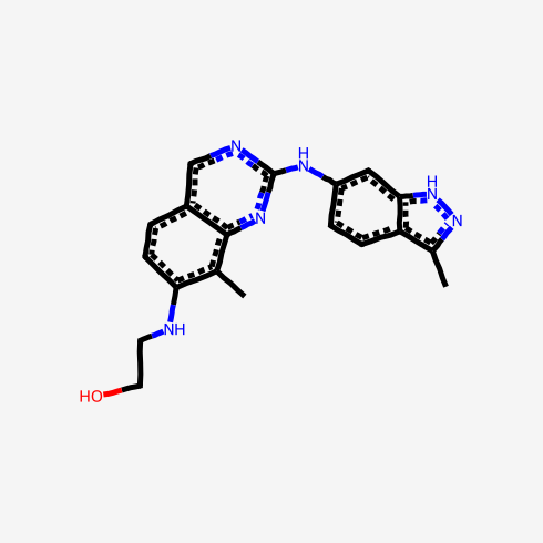 Cc1n[nH]c2cc(Nc3ncc4ccc(NCCO)c(C)c4n3)ccc12